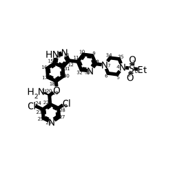 CCS(=O)(=O)N1CCN(c2ccc(-c3n[nH]c4ccc(O[C@H](N)c5c(Cl)cncc5Cl)cc34)cn2)CC1